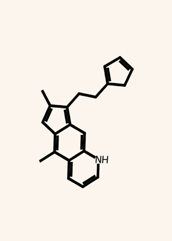 Cc1cc2c(C)c3ccc[nH]c3cc2c1CCC1=CC=CC1